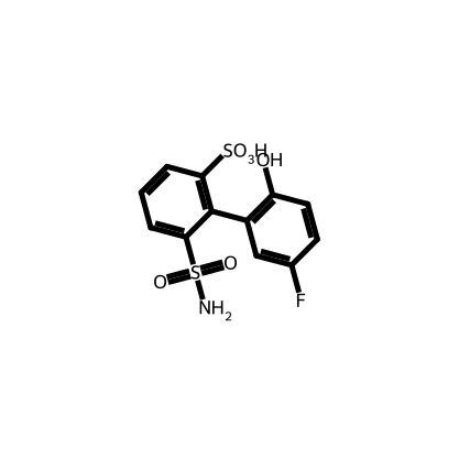 NS(=O)(=O)c1cccc(S(=O)(=O)O)c1-c1cc(F)ccc1O